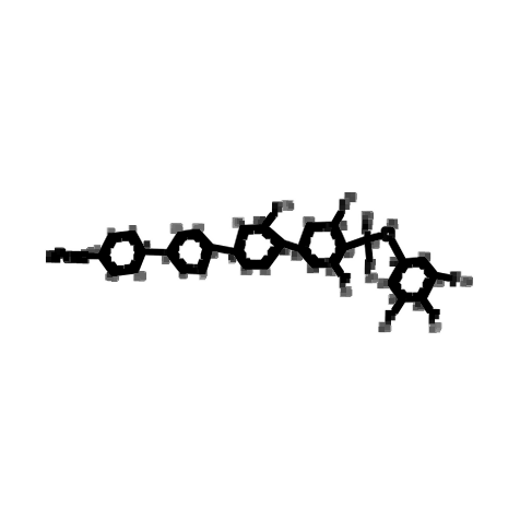 CCCCCc1ccc(-c2ccc(-c3ccc(-c4cc(F)c(C(F)(F)Oc5cc(F)c(F)c(F)c5)c(F)c4)c(F)c3)cc2)cc1